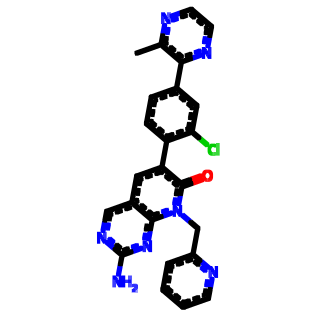 Cc1nccnc1-c1ccc(-c2cc3cnc(N)nc3n(Cc3ccccn3)c2=O)c(Cl)c1